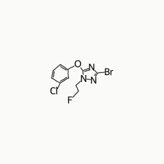 FCCn1nc(Br)nc1Oc1cccc(Cl)c1